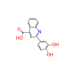 O=C(O)c1cc(-c2ccc(O)c(O)c2)nc2ccccc12